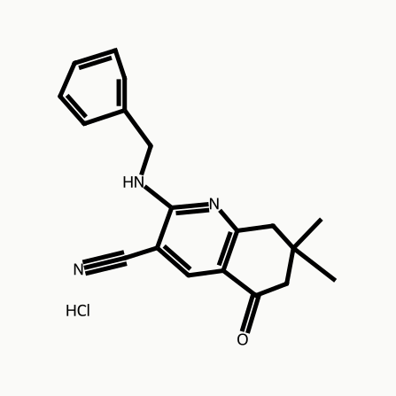 CC1(C)CC(=O)c2cc(C#N)c(NCc3ccccc3)nc2C1.Cl